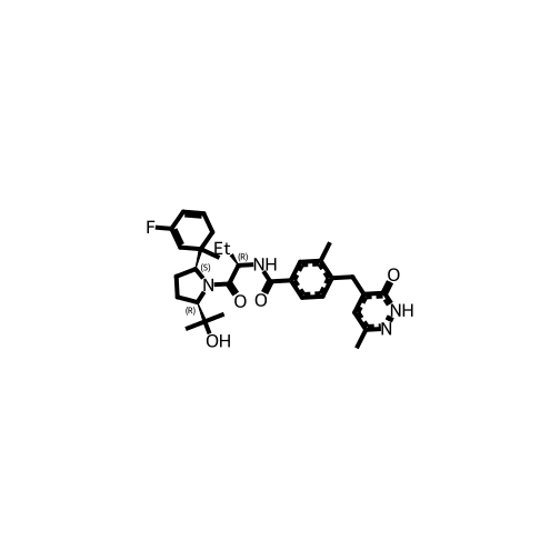 CC[C@@H](NC(=O)c1ccc(Cc2cc(C)n[nH]c2=O)c(C)c1)C(=O)N1[C@H](C2(C)C=C(F)C=CC2)CC[C@@H]1C(C)(C)O